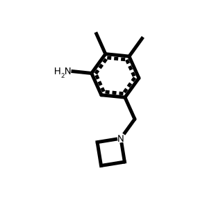 Cc1cc(CN2CCC2)cc(N)c1C